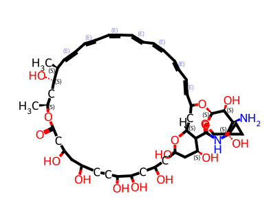 C[C@H]1C[C@H](O)[C@@H](C)/C=C/C=C/C=C/C=C/C=C/C=C/C=C/C(O[C@@H]2OC[C@@H](O)[C@H](N)[C@@H]2O)C[C@@H]2OC(O)(CC(O)CC(O)C(O)CCC(O)CC(O)CC(=O)O1)C[C@H](O)C2C(=O)NC1CC1